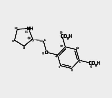 O=C(O)c1ccc(OC[C@@H]2CCCN2)c(C(=O)O)c1